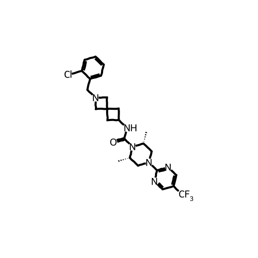 C[C@@H]1CN(c2ncc(C(F)(F)F)cn2)C[C@H](C)N1C(=O)NC1CC2(C1)CN(Cc1ccccc1Cl)C2